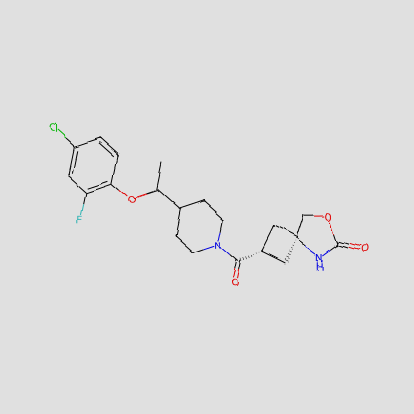 CC(Oc1ccc(Cl)cc1F)C1CCN(C(=O)[C@H]2C[C@@]3(COC(=O)N3)C2)CC1